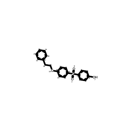 O=S(=O)(c1ccc(O)cc1)c1ccc(OCCc2ccccc2)cc1